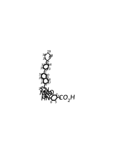 COc1cc(C(=O)O)ccc1NS(=O)(=O)c1csc(-c2ccc3cc(-c4ccc(C5CCCCC5)cc4)ccc3c2)n1